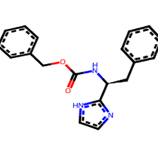 O=C(N[C@@H](Cc1ccccc1)c1ncc[nH]1)OCc1ccccc1